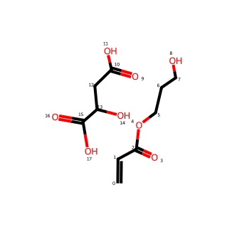 C=CC(=O)OCCCO.O=C(O)CC(O)C(=O)O